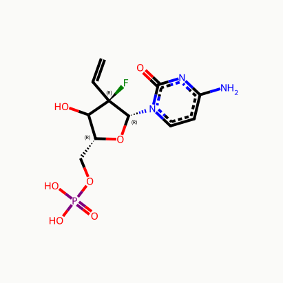 C=C[C@@]1(F)C(O)[C@@H](COP(=O)(O)O)O[C@H]1n1ccc(N)nc1=O